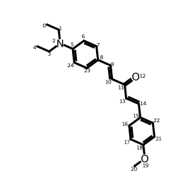 CCN(CC)c1ccc(C=CC(=O)C=Cc2ccc(OC)cc2)cc1